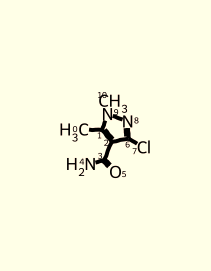 Cc1c(C(N)=O)c(Cl)nn1C